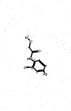 CCOCC(=O)Nc1ccc(Cl)cc1Cl